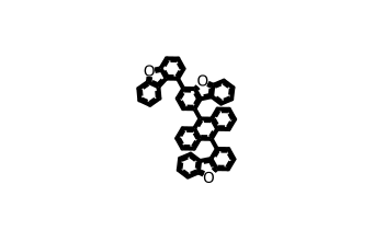 c1ccc2c(c1)oc1cccc(-c3c4ccccc4c(-c4ccc(-c5cccc6oc7ccccc7c56)c5oc6ccccc6c45)c4ccccc34)c12